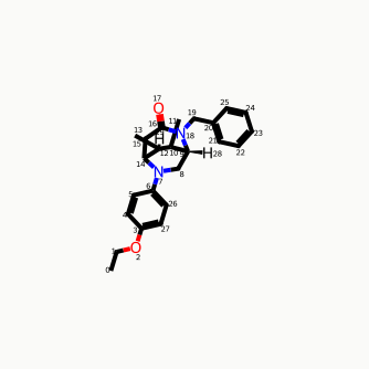 CCOc1ccc(N2C[C@@H]3C(C)[C@H](C)C2CC(=O)N3Cc2ccccc2)cc1